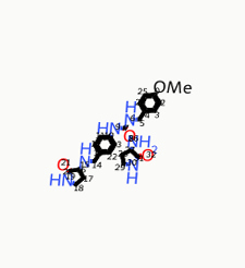 COc1ccc(CNC(=O)Nc2ccc(CNC3CCNC3=O)cc2)cc1.NC1CCNC1=O